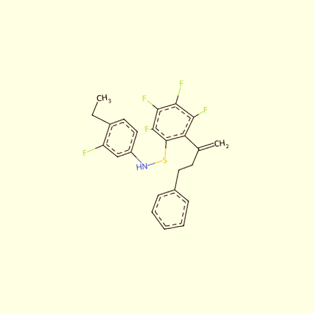 C=C(CCc1ccccc1)c1c(F)c(F)c(F)c(F)c1SNc1ccc(CC)c(F)c1